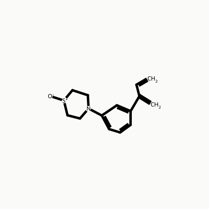 C=CC(=C)c1cccc(N2CC[S+]([O-])CC2)c1